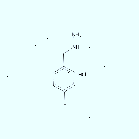 Cl.NNCc1ccc(F)cc1